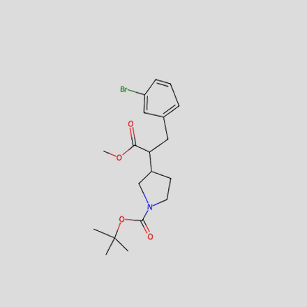 COC(=O)C(Cc1cccc(Br)c1)C1CCN(C(=O)OC(C)(C)C)C1